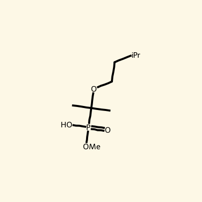 COP(=O)(O)C(C)(C)OCCC(C)C